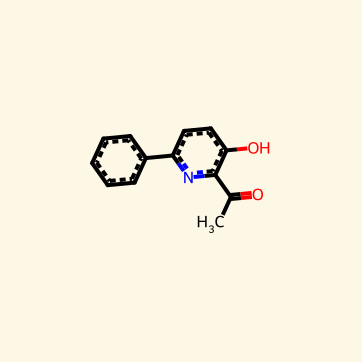 CC(=O)c1nc(-c2ccccc2)ccc1O